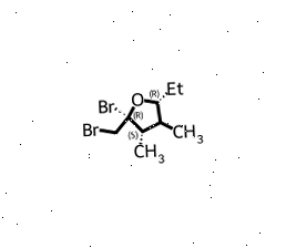 CC[C@H]1O[C@](Br)(CBr)[C@@H](C)C1C